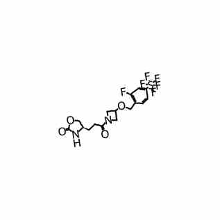 O=C1N[C@H](CCC(=O)N2CC(OCc3ccc(S(F)(F)(F)(F)F)cc3F)C2)CO1